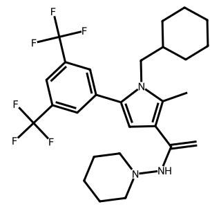 C=C(NN1CCCCC1)c1cc(-c2cc(C(F)(F)F)cc(C(F)(F)F)c2)n(CC2CCCCC2)c1C